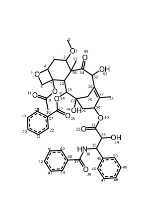 COC1CC2OCC2(OC(C)=O)C2C(OC(=O)c3ccccc3)C3(O)CC(=C(C)C(OC(=O)C(O)C(NC(=O)c4ccccc4)c4ccccc4)C3)C(O)C(=O)C12C